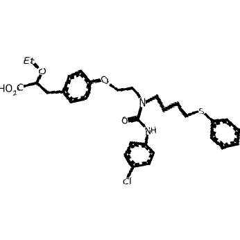 CCOC(Cc1ccc(OCCN(CCCCSc2ccccc2)C(=O)Nc2ccc(Cl)cc2)cc1)C(=O)O